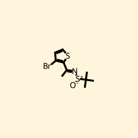 CC(=N[S+]([O-])C(C)(C)C)c1sccc1Br